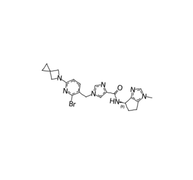 Cn1cnc2c1CC[C@H]2NC(=O)c1cn(Cc2ccc(N3CC4(CC4)C3)nc2Br)cn1